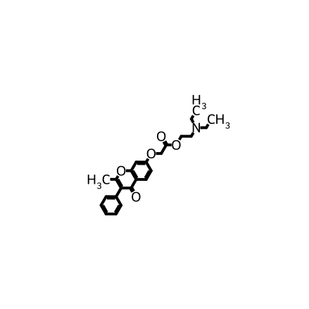 CCN(CC)CCOC(=O)COc1ccc2c(=O)c(-c3ccccc3)c(C)oc2c1